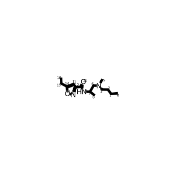 CCCCN(C)CC(C)NC(=O)c1cc(CC)on1